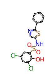 O=S(=O)(Nc1cnc(-c2ccccc2)s1)c1cc(Cl)cc(Cl)c1O